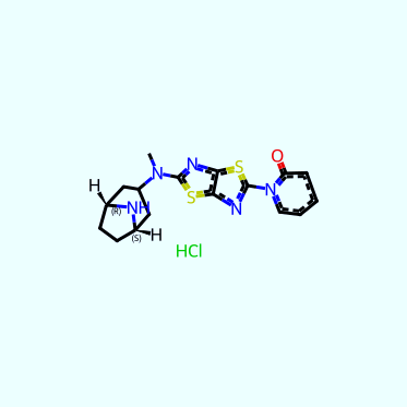 CN(c1nc2sc(-n3ccccc3=O)nc2s1)C1C[C@H]2CC[C@@H](C1)N2.Cl